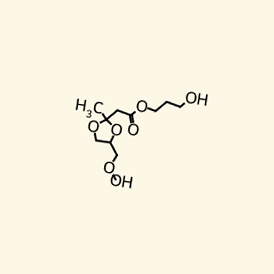 CC1(CC(=O)OCCCO)OCC(COO)O1